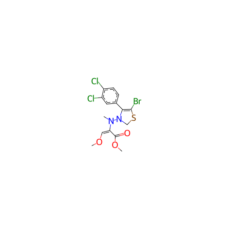 COC=C(C(=O)OC)N(C)N1CSC(Br)=C1c1ccc(Cl)c(Cl)c1